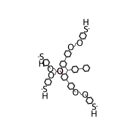 C[SH](C)c1ccc(OCCOc2ccc(-c3ccc(OCCOc4ccc([SH](C)C)cc4)c(C(c4ccc(-c5ccccc5)cc4)c4cc(-c5ccc(OCCOc6ccc([SH](C)C)cc6)cc5)ccc4OCCOc4ccc([SH](C)C)cc4)c3)cc2)cc1